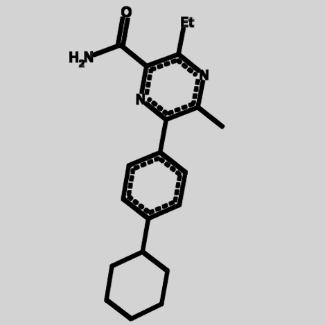 CCc1nc(C)c(-c2ccc(C3CCCCC3)cc2)nc1C(N)=O